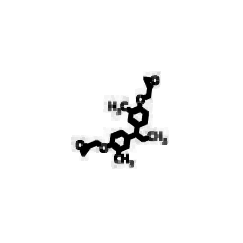 CCC(c1ccc(OCC2CO2)c(C)c1)c1ccc(OCC2CO2)c(C)c1